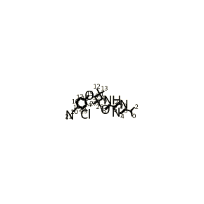 CC(C)c1cnc(C(=O)N[C@H]2C(C)(C)[C@H](Oc3ccc(C#N)c(Cl)c3)C2(C)C)cn1